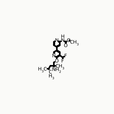 COC(=O)Nc1cc(-c2cnc(OCC(C)(N)CC(C)C)c(C(F)F)c2)ccn1